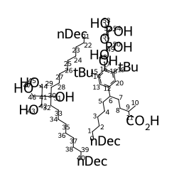 CCCCCCCCCCCCCCCC(CCC(C)C(=O)O)c1cc(C(C)(C)C)c(O)c(C(C)(C)C)c1.CCCCCCCCCCCCCCCCCCC(O)(CCCCCCCCCCCCCCCCCC)C(CO)(CO)CO.OP(O)OP(O)O